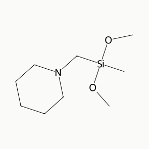 CO[Si](C)(CN1CCCCC1)OC